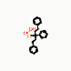 O=[PH](O)CC(CCc1ccccc1)(CCc1ccccc1)c1ccccc1